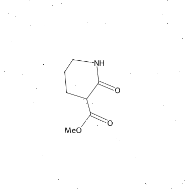 COC(=O)C1CCCNC1=O